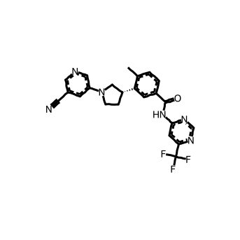 Cc1ccc(C(=O)Nc2cc(C(F)(F)F)ncn2)cc1[C@@H]1CCN(c2cncc(C#N)c2)C1